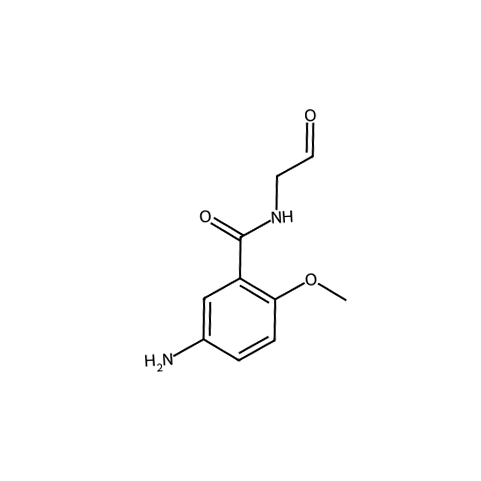 COc1ccc(N)cc1C(=O)NCC=O